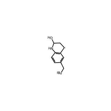 CC(C)(C)Cc1ccc2c(c1)[C]CC(O)N2